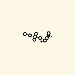 CC1(C)c2cc(-c3c4ccccc4c(-c4ccc(-c5ccccc5)cc4)c4ccccc34)ccc2-c2c1ccc1cc3oc4ccccc4c3cc21